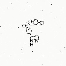 CC(C)(Oc1ccc(Cl)cc1)C(=O)N1CCC(c2c[nH]c3ncccc23)CC1